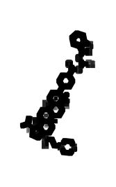 C=C(C)[C@@H]1CC[C@]2(NCCN3CCSCC3)CC[C@]3(C)[C@H](CC[C@@H]4[C@@]5(C)CC=C(C6=CCC(C(=O)OC(CC)Oc7nsc8ccccc78)CC6)C(C)(C)[C@@H]5CC[C@]43C)[C@@H]12